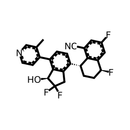 Cc1cnccc1-c1ccc([C@H]2CC[C@H](F)c3cc(F)cc(C#N)c32)c2c1[C@H](O)C(F)(F)C2